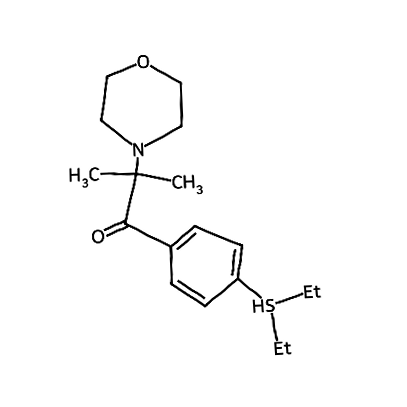 CC[SH](CC)c1ccc(C(=O)C(C)(C)N2CCOCC2)cc1